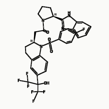 O=C(C[C@@H]1CCc2cc(C(O)(C(F)(F)F)C(F)(F)F)ccc2N1S(=O)(=O)c1ccc(F)cc1)N1CCC[C@H]1c1nc2ccccc2[nH]1